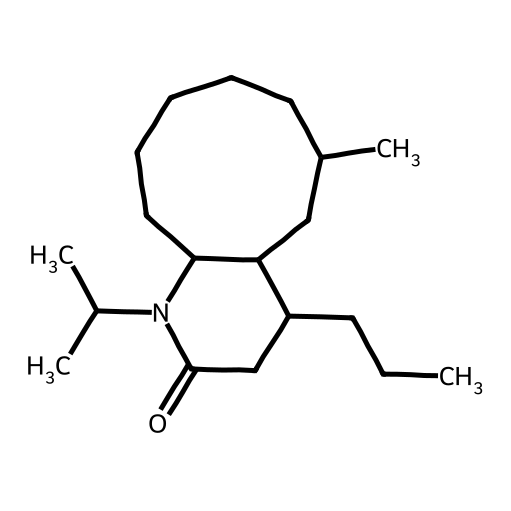 CCCC1CC(=O)N(C(C)C)C2CCCCCC(C)CC12